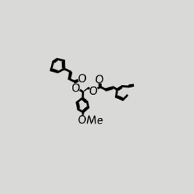 C=C/C=C(\C=C/C)/C=C/C(=O)OC[C@H](OC(=O)/C=C/c1ccccc1)c1ccc(OC)cc1